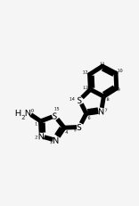 Nc1nnc(Sc2nc3ccccc3s2)s1